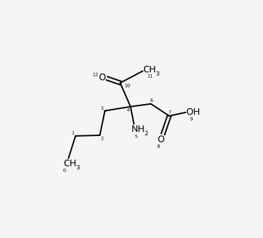 CCCCC(N)(CC(=O)O)C(C)=O